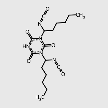 CCCCCC(N=C=O)n1c(=O)[nH]c(=O)n(C(CCCCC)N=C=O)c1=O